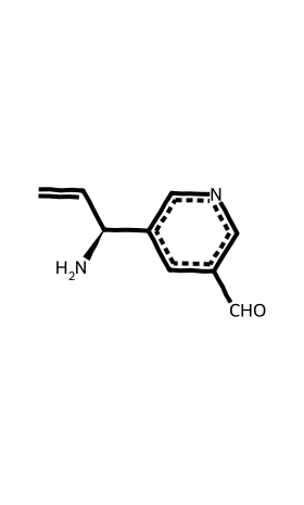 C=C[C@H](N)c1cncc(C=O)c1